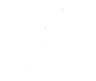 Cc1ncccc1C(=O)Nc1nc(C2CCNCC2)cs1